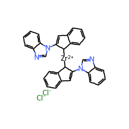 C1=C(n2cnc3ccccc32)[CH]([Zr+2][CH]2C(n3cnc4ccccc43)=Cc3ccccc32)c2ccccc21.[Cl-].[Cl-]